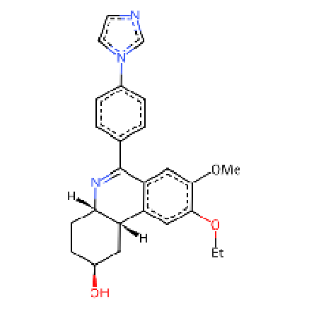 CCOc1cc2c(cc1OC)C(c1ccc(-n3ccnc3)cc1)=N[C@H]1CC[C@H](O)C[C@@H]21